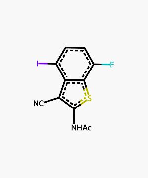 CC(=O)Nc1sc2c(F)ccc(I)c2c1C#N